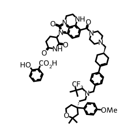 COc1ccc([C@]2(CCN(Cc3ccc(C4=CC[C@H](CN5CCN(C(=O)c6ccc7c8c6NCCn8c(=O)n7C6CCC(=O)NC6=O)CC5)CC4)cc3)CC(C)(C)C(F)(F)F)CCOC(C)(C)C2)cc1.O=C(O)c1ccccc1O